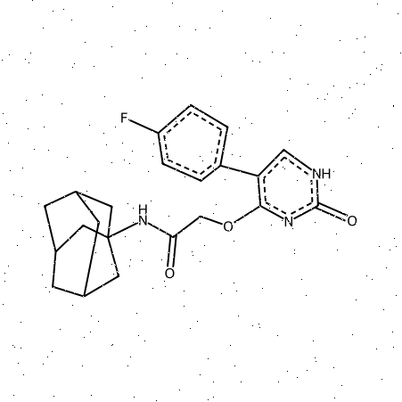 O=C(COc1nc(=O)[nH]cc1-c1ccc(F)cc1)NC12CC3CC(CC(C3)C1)C2